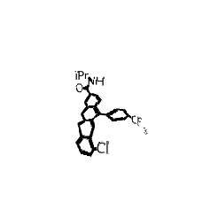 CC(C)NC(=O)c1ccc2c(-c3ccc(C(F)(F)F)cc3)c3cc4c(Cl)cccc4cc3cc2c1